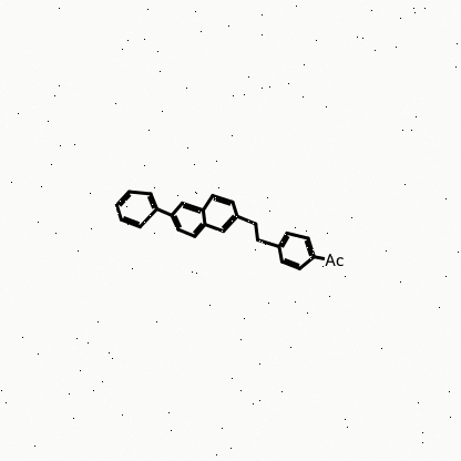 CC(=O)c1ccc(CCc2ccc3cc(-c4ccccc4)ccc3c2)cc1